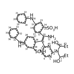 CCC(O)N(c1ncnc(C(=C(N)c2ccc(Nc3ccccc3)cc2S(=O)(=O)O)c2ccc(Nc3ccccc3)cc2S(=O)(=O)O)n1)C(O)CC